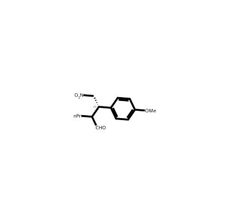 CCCC(C=O)[C@H](C[N+](=O)[O-])c1ccc(OC)cc1